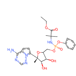 CCOC(=O)C(C)(C)NP(=O)(OCC1O[C@@](C)(c2ccc3c(N)ncnn23)[C@H](O)[C@@H]1O)Oc1ccccc1